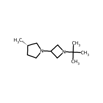 C[C@H]1CCN(C2CN(C(C)(C)C)C2)C1